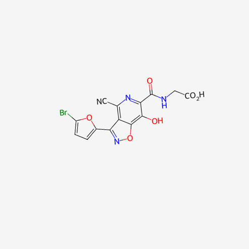 N#Cc1nc(C(=O)NCC(=O)O)c(O)c2onc(-c3ccc(Br)o3)c12